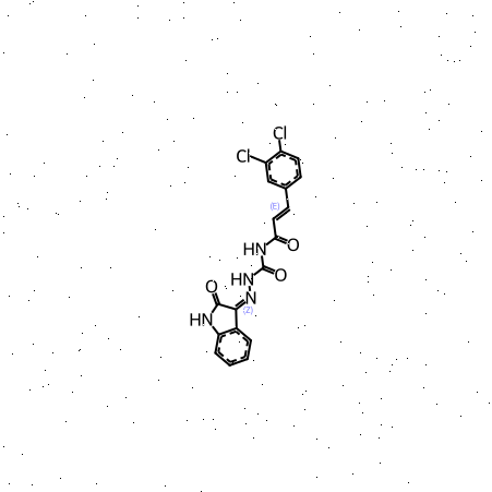 O=C(/C=C/c1ccc(Cl)c(Cl)c1)NC(=O)N/N=C1\C(=O)Nc2ccccc21